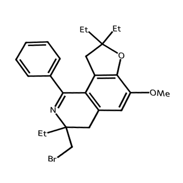 CCC1(CBr)Cc2cc(OC)c3c(c2C(c2ccccc2)=N1)CC(CC)(CC)O3